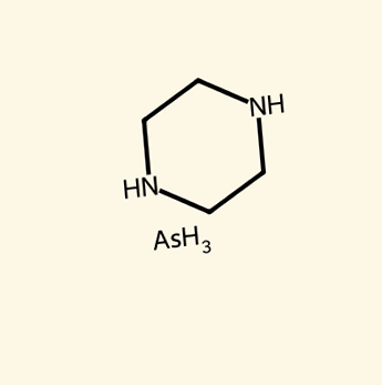 C1CNCCN1.[AsH3]